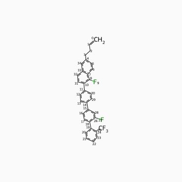 C=CCCc1ccc2c(F)c(-c3ccc(-c4ccc(-c5ccccc5C(F)(F)F)c(F)c4)cc3)ccc2c1